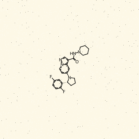 O=C(NN1CCCCC1)c1cnn2ccc(N3CCC[C@@H]3c3cc(F)ccc3F)cc12